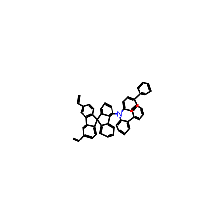 C=Cc1ccc2c(c1)-c1cc(C=C)ccc1C21c2ccccc2-c2c(N(c3ccc(-c4ccccc4)cc3)c3ccccc3-c3ccccc3)cccc21